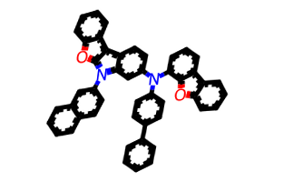 c1ccc(-c2ccc(N(c3ccc4c5c6ccccc6oc5n(-c5ccc6ccccc6c5)c4c3)c3cccc4c3oc3ccccc34)cc2)cc1